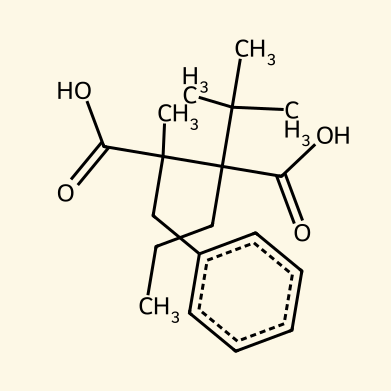 CCCC(C(=O)O)(C(C)(C)C)C(C)(Cc1ccccc1)C(=O)O